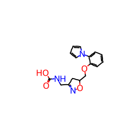 O=C(O)NCC1=NOC(COc2ccccc2-n2cccc2)C1